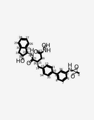 CS(=O)(=O)Nc1cccc(-c2ccc(C[C@H](CC(=O)NO)C(=O)N[C@H]3c4ccccc4C[C@H]3O)cc2)c1